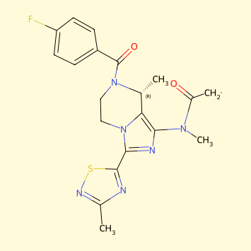 [CH2]C(=O)N(C)c1nc(-c2nc(C)ns2)n2c1[C@@H](C)N(C(=O)c1ccc(F)cc1)CC2